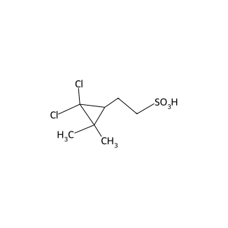 CC1(C)C(CCS(=O)(=O)O)C1(Cl)Cl